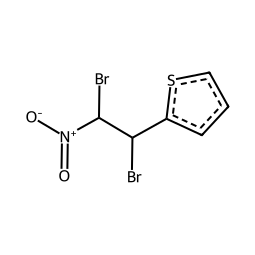 O=[N+]([O-])C(Br)C(Br)c1cccs1